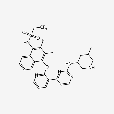 Cc1c(F)c(NS(=O)(=O)CC(F)(F)F)c2ccccc2c1Oc1ncccc1-c1ccnc(NC2CNCC(C)C2)n1